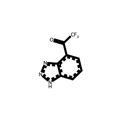 O=C(c1cccc2[nH]nnc12)C(F)(F)F